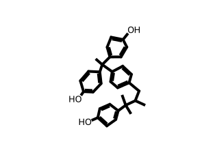 CC(Cc1ccc(C(C)(c2ccc(O)cc2)c2ccc(O)cc2)cc1)C(C)(C)c1ccc(O)cc1